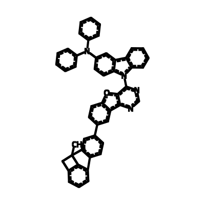 CC12Cc3cccc(c31)-c1ccc(-c3ccc4oc5c(-n6c7ccccc7c7cc(N(c8ccccc8)c8ccccc8)ccc76)ncnc5c4c3)cc12